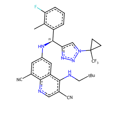 Cc1c(F)cccc1[C@H](Nc1cc(C#N)c2ncc(C#N)c(NCC(C)(C)C)c2c1)c1cn(C2(C(F)(F)F)CC2)nn1